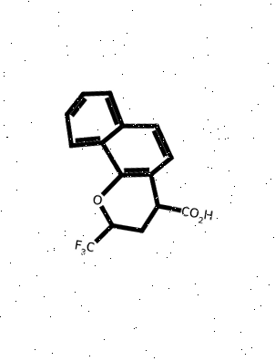 O=C(O)C1CC(C(F)(F)F)Oc2c1ccc1ccccc21